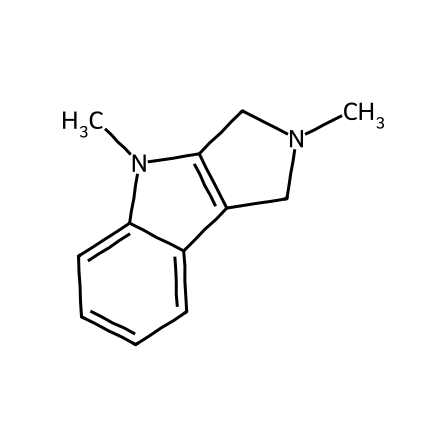 CN1Cc2c(n(C)c3ccccc23)C1